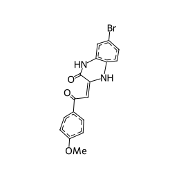 COc1ccc(C(=O)C=C2Nc3ccc(Br)cc3NC2=O)cc1